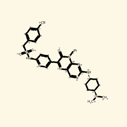 CC(C)n1c(=O)c(-c2ccc(NS(=O)(=O)Cc3ccc(C#N)cc3)nc2)nc2cnc(N[C@H]3CC[C@H](N(C)C)CC3)nc21